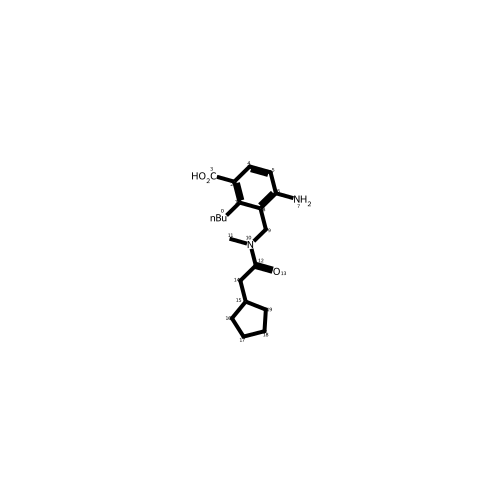 CCCCc1c(C(=O)O)ccc(N)c1CN(C)C(=O)CC1CCCC1